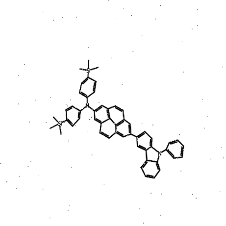 C[Si](C)(C)c1ccc(N(c2ccc([Si](C)(C)C)cc2)c2cc3ccc4cc(-c5ccc6c(c5)c5ccccc5n6-c5ccccc5)cc5ccc(c2)c3c45)cc1